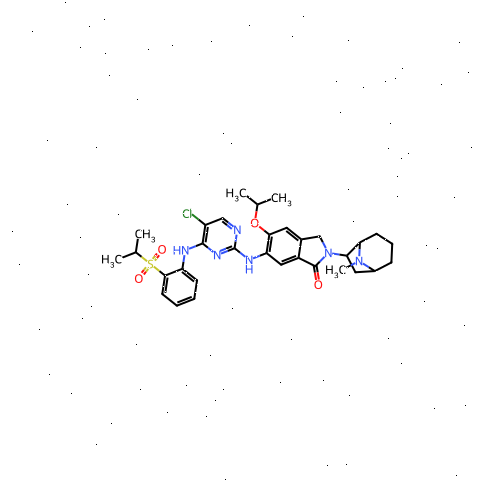 CC(C)Oc1cc2c(cc1Nc1ncc(Cl)c(Nc3ccccc3S(=O)(=O)C(C)C)n1)C(=O)N(C1CC3CCCC1N3C)C2